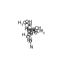 CC(C)S(=O)(=O)C1C[C@H](C(=O)Cn2cc(C#N)cn2)[C@@]2(C)CC[C@H]3[C@@H](CC[C@@H]4C[C@](C)(O)CC[C@@H]43)[C@H]12